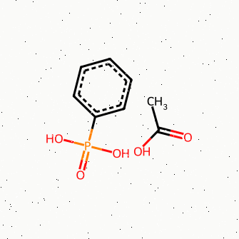 CC(=O)O.O=P(O)(O)c1ccccc1